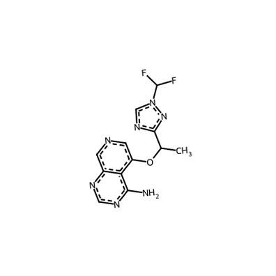 CC(Oc1cncc2ncnc(N)c12)c1ncn(C(F)F)n1